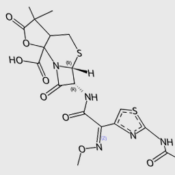 CO/N=C(\C(=O)N[C@@H]1C(=O)N2[C@@H]1SCC1C(C)(C)C(=O)OC12C(=O)O)c1csc(NC(=O)CCl)n1